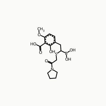 COc1ccc(CC(SCC(=O)N2CCCC2)B(O)O)c(O)c1C(=O)O